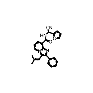 CC(C)=Cc1c(-c2ccccc2)nc2c(C(=O)NC(C#N)c3ccco3)cccn12